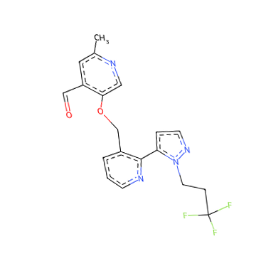 Cc1cc(C=O)c(OCc2cccnc2-c2ccnn2CCC(F)(F)F)cn1